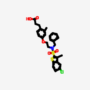 Cc1cc(OCCN(Cc2ccccc2)S(=O)(=O)c2sc3ccc(Cl)cc3c2C)ccc1CCC(=O)O